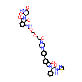 O=C1CCC(N2C(=O)c3cccc(NCOCCOCCC(=O)N4CCN(c5ccc(-c6ccc7c(c6)C(=O)N(C(C(=O)Nc6nccs6)c6ccccc6)C7)cc5)CC4)c3C2=O)C(=O)N1